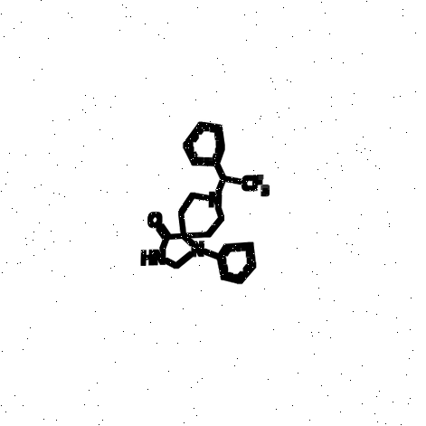 O=C1NCN(c2ccccc2)C12CCN(C(c1ccccc1)C(F)(F)F)CC2